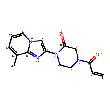 C=CC(=O)N1CCN(c2cn3cccc(C)c3n2)C(=O)C1